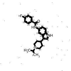 CC(C)N1CCC(c2c[nH]c3ccc(NC(=O)c4ccc(F)cc4)cc23)CC1